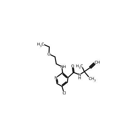 C#CC(C)(C)NC(=O)c1cc(Cl)cnc1NCCOCC